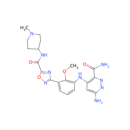 COc1c(Nc2cc(N)nnc2C(N)=O)cccc1-c1noc(C(=O)NC2CCN(C)CC2)n1